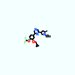 C[C@@H]1CC(c2cncc(-c3ccc(OC(F)F)c(OCC4CC4)c3)n2)CN1C(C)(C)C